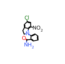 NC(=O)c1ccccc1N1CCc2cc(Cl)cc([N+](=O)[O-])c21